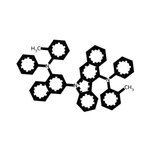 Cc1ccccc1N(c1ccccc1)c1cc(-n2c3ccccc3c3c(N(c4ccccc4)c4ccccc4C)c4ccccc4cc32)cc2ccccc12